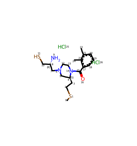 CSCC[C@H]1CN(C[C@@H](N)CS)CCN1C(=O)c1cccc(C)c1C.Cl.Cl